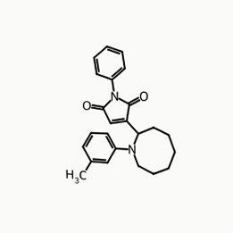 Cc1cccc(N2CCCCCCC2C2=CC(=O)N(c3ccccc3)C2=O)c1